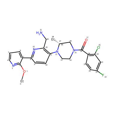 CCOc1ncccc1-c1ccc(N2CCN(C(=O)c3ccc(F)cc3Cl)C[C@H]2CC)c(CN)n1